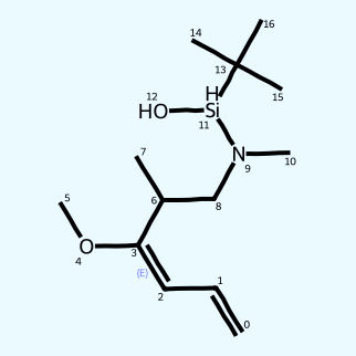 C=C/C=C(/OC)C(C)CN(C)[SiH](O)C(C)(C)C